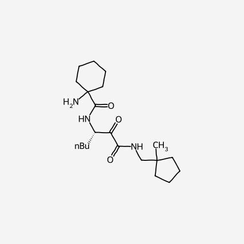 CCCC[C@H](NC(=O)C1(N)CCCCC1)C(=O)C(=O)NCC1(C)CCCC1